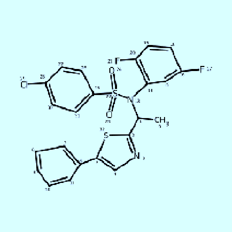 CC(c1ncc(-c2ccccc2)s1)N(c1cc(F)ccc1F)S(=O)(=O)c1ccc(Cl)cc1